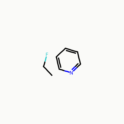 CCF.c1ccncc1